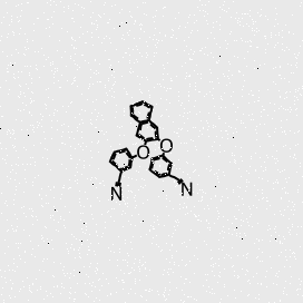 N#Cc1cccc(Oc2cc3ccccc3cc2Oc2cccc(C#N)c2)c1